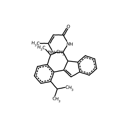 CC1=CC(=O)NC(C2C(c3c(C(C)C)cccc3C(C)C)=Cc3ccccc32)N1